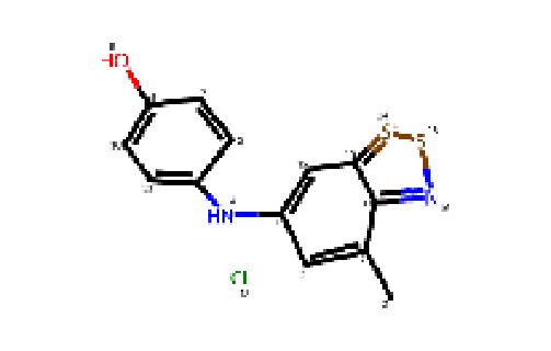 Cc1cc(Nc2ccc(O)cc2)cc2[s+]snc12.[Cl-]